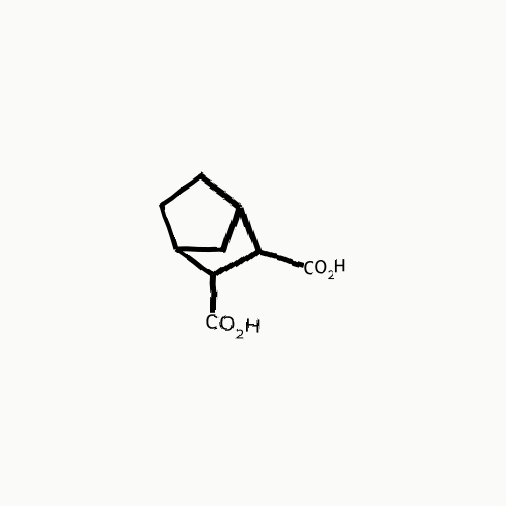 O=C(O)C1C2CCC(C2)C1C(=O)O